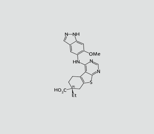 CC[C@@]1(C(=O)O)CCc2c(sc3ncnc(Nc4cc5cn[nH]c5cc4OC)c23)C1